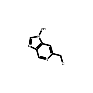 CCCn1cnc2cnc(CCl)cc21